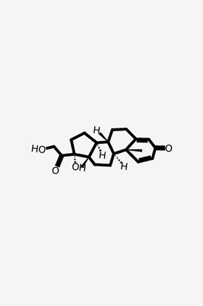 C[C@]12C=CC(=O)C=C1CC[C@@H]1[C@@H]2CC[C@@]2(C)[C@H]1CC[C@]2(O)C(=O)CO